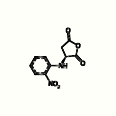 O=C1C[C@H](Nc2ccccc2[N+](=O)[O-])C(=O)O1